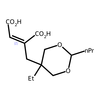 CCCC1OCC(CC)(C/C(=C/C(=O)O)C(=O)O)CO1